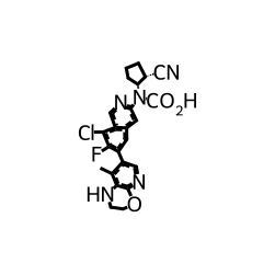 Cc1c(-c2cc3cc(N(C(=O)O)[C@@H]4CCC[C@@H]4C#N)ncc3c(Cl)c2F)cnc2c1NCCO2